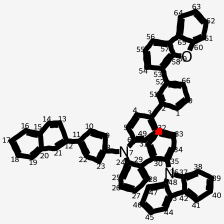 c1cc(-c2ccc(N(c3ccc(-c4ccc5ccccc5c4)cc3)c3ccccc3-c3ccccc3-n3c4ccccc4c4ccccc43)cc2)cc(-c2cccc3c2oc2ccccc23)c1